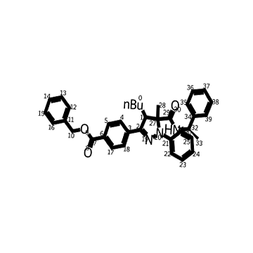 CCCCC1C(c2ccc(C(=O)OCc3ccccc3)cc2)=NN(c2ccccc2)C1(C)C(=O)N[C@H](C)c1ccccc1